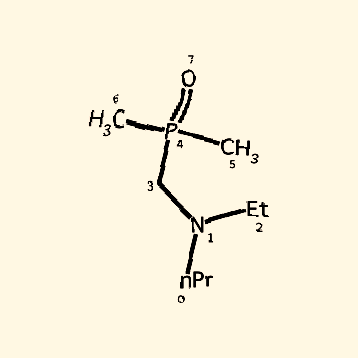 CCCN(CC)CP(C)(C)=O